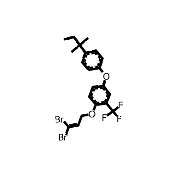 CCC(C)(C)c1ccc(Oc2ccc(OCC=C(Br)Br)c(C(F)(F)F)c2)cc1